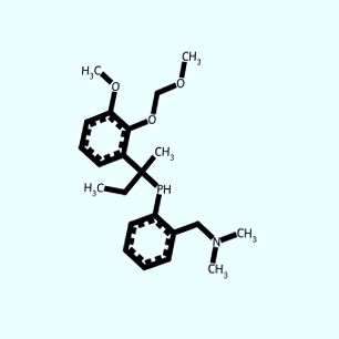 CCC(C)(Pc1ccccc1CN(C)C)c1cccc(OC)c1OCOC